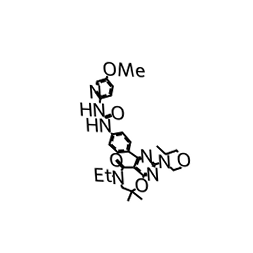 CCN1CC(C)(C)Oc2nc(N3CCOCC3C)nc(-c3ccc(NC(=O)Nc4ccc(OC)cn4)cc3)c2C1=O